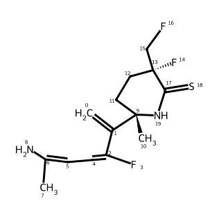 C=C(/C(F)=C\C=C(/C)N)[C@]1(C)CC[C@@](F)(CF)C(=S)N1